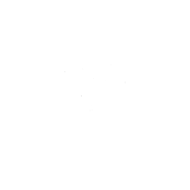 [CH3][Ge]([CH3])([CH3])[C]1=[C]CC=[C]1[Ge]([CH3])([CH3])[CH3]